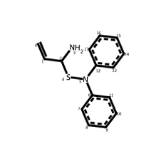 C=CC(N)SN(c1ccccc1)c1ccccc1